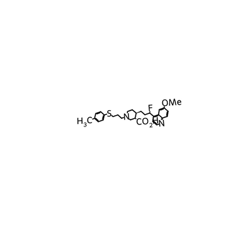 COc1ccc2nccc([C@H](F)CC[C@@H]3CCN(CCCSc4ccc(C)cc4)C[C@@H]3C(=O)O)c2c1